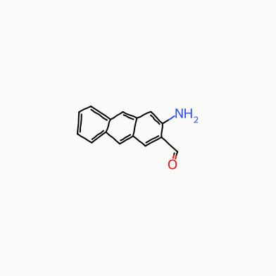 Nc1cc2cc3ccccc3cc2cc1C=O